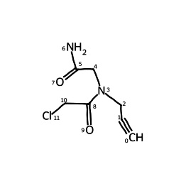 C#CCN(CC(N)=O)C(=O)CCl